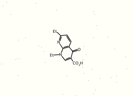 CCc1ccc2c(=O)c(C(=O)O)cn(CC)c2n1